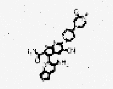 CN1CCN(C2CCN(c3nc4sc(C(N)=O)c(-c5oc6cccc-6cc5N)c4cc3C#N)CC2)CC1=O